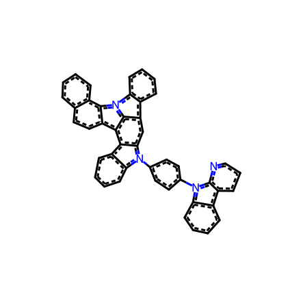 c1ccc2c(c1)ccc1c3c4c5ccccc5n(-c5ccc(-n6c7ccccc7c7cccnc76)cc5)c4cc4c5ccccc5n(c21)c43